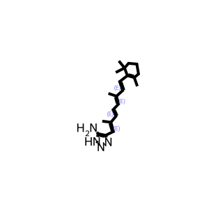 CC1=C(/C=C/C(C)=C/C=C/C(C)=C/c2nn[nH]c2N)C(C)(C)CCC1